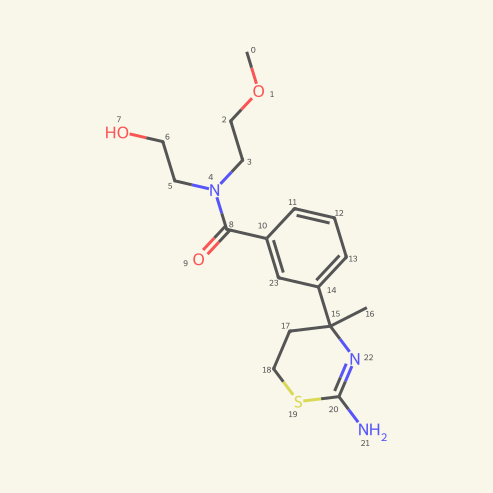 COCCN(CCO)C(=O)c1cccc(C2(C)CCSC(N)=N2)c1